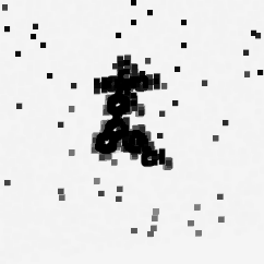 CCN1CCN(c2nc(-c3ccc(C(O)C(C)(C)CO)cc3)cc3ccccc23)CC1